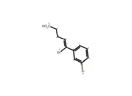 CC/C(=C\CCC(=O)O)c1cccc(Br)c1